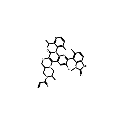 C=CC(=O)N1CC2COc3c(c4cc(Cl)c(-c5c(C)ccc6[nH]c(=O)n(C)c56)nc4n(-c4c(C)ccnc4C(C)C)c3=O)N2CC1C